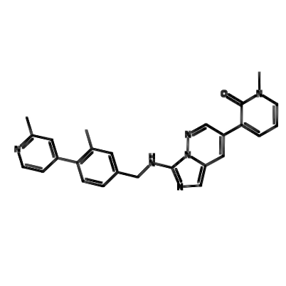 Cc1cc(-c2ccc(CNc3ncc4cc(-c5cccn(C)c5=O)cnn34)cc2C)ccn1